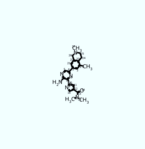 Cc1cc(-c2cnc(N)c(-n3cc(C(=O)N(C)C)cn3)n2)cc2c1CCN(C)C2